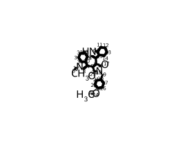 CCn1cc(C2=C(c3c[nH]c4ccccc34)C(=O)N(Cc3ccc(OC)cc3)C2=O)c2ccccc21